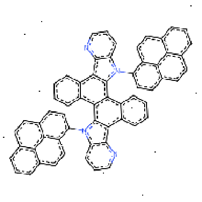 c1cc2ccc3ccc(-n4c5cccnc5c5c6ccccc6c6c(c7ccccc7c7c8ncccc8n(-c8ccc9ccc%10cccc%11ccc8c9c%10%11)c76)c54)c4ccc(c1)c2c34